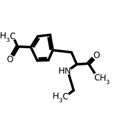 CCNC(Cc1ccc(C(C)=O)cc1)C(C)=O